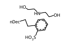 CCCCCCCCCCCCc1ccccc1S(=O)(=O)O.OCCNCCO